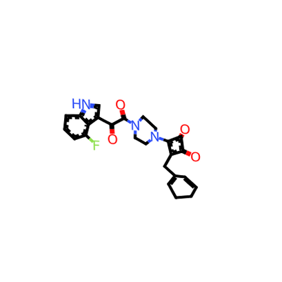 O=C(C(=O)N1CCN(c2c(CC3=CCCC=C3)c(=O)c2=O)CC1)c1c[nH]c2cccc(F)c12